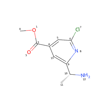 COC(=O)c1cc(Cl)nc([C@@H](C)N)c1